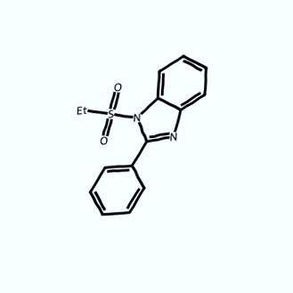 CCS(=O)(=O)n1c(-c2ccccc2)nc2ccccc21